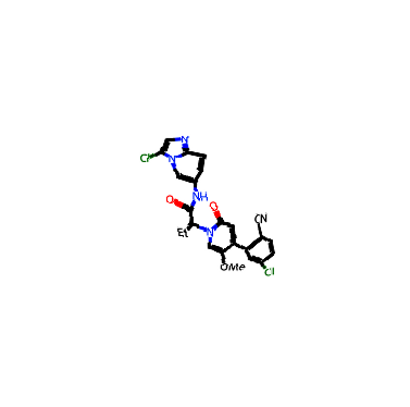 CCC(C(=O)Nc1ccc2ncc(Cl)n2c1)n1cc(OC)c(-c2cc(Cl)ccc2C#N)cc1=O